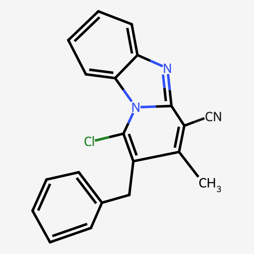 Cc1c(Cc2ccccc2)c(Cl)n2c(nc3ccccc32)c1C#N